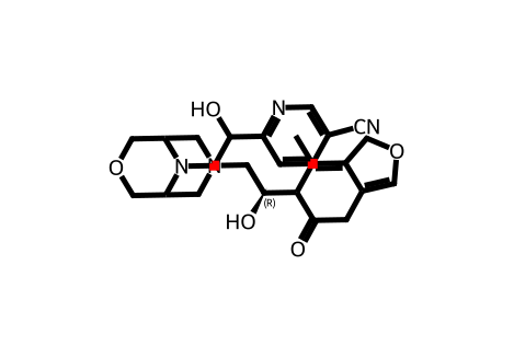 CC1=C2COC=C2CC(=O)C1[C@@H](O)CN1CC2COCC(C1)N2CC(O)c1ccc(C#N)cn1